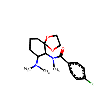 CN(C)C1CCCC2(OCCO2)C1N(C)C(=O)c1ccc(Br)cc1